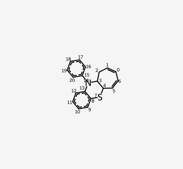 C1=CCC2C(C=C1)Sc1ccccc1N2c1ccccc1